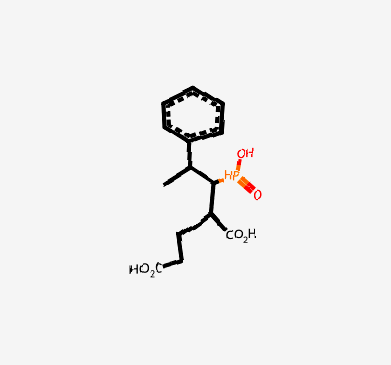 CC(c1ccccc1)C(C(CCC(=O)O)C(=O)O)[PH](=O)O